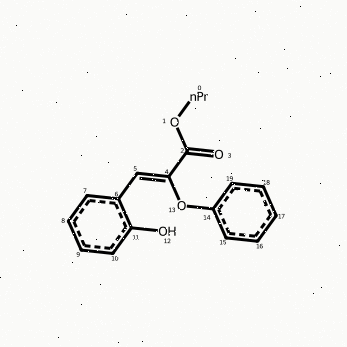 CCCOC(=O)C(=Cc1ccccc1O)Oc1ccccc1